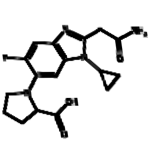 NC(=O)Cc1nc2cc(F)c(N3CCCC3C(=O)O)cc2n1C1CC1